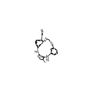 Cc1cnc2nc1Nc1cccc(c1)SCCOc1cc(ccc1C#N)N2